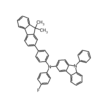 CC1(C)c2ccccc2-c2ccc(-c3ccc(N(c4ccc(F)cc4)c4ccc5c(c4)c4ccccc4n5-c4ccccc4)cc3)cc21